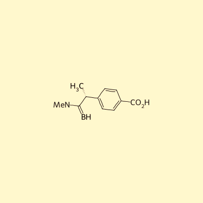 B=C(NC)[C@H](C)c1ccc(C(=O)O)cc1